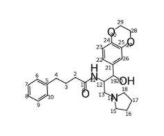 O=C(CCCc1ccccc1)NC(CN1CCCC1)C(O)c1ccc2c(c1)OCCO2